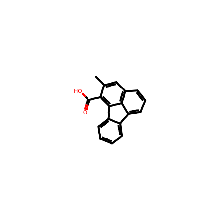 Cc1cc2cccc3c2c(c1C(=O)O)-c1ccccc1-3